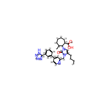 CCCCc1cn(C2C(C)CCCCC2C(=O)O)c(=O)n1Cc1cc(-c2cccc(-c3nnn[nH]3)c2)ccn1